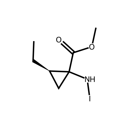 CC[C@@H]1CC1(NI)C(=O)OC